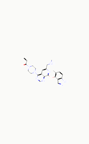 C=CC(=O)N1CCN(c2ncnc3c(Oc4c(C)ccc5[nH]ncc45)nc(CNC)cc23)CC1